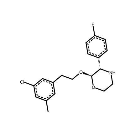 Cc1cc(Cl)cc(CCO[C@@H]2OCCN[C@H]2c2ccc(F)cc2)c1